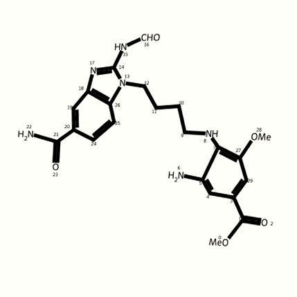 COC(=O)c1cc(N)c(NCCCCn2c(NC=O)nc3cc(C(N)=O)ccc32)c(OC)c1